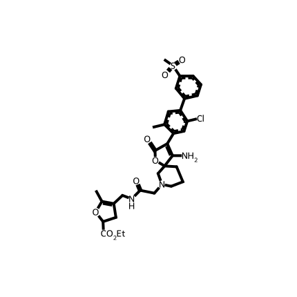 CCOC(=O)C1CC(CNC(=O)CN2CCCC3(C2)OC(=O)C(c2cc(Cl)c(-c4cccc(S(C)(=O)=O)c4)cc2C)=C3N)=C(C)O1